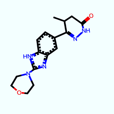 CC1CC(=O)NN=C1c1ccc2[nH]c(N3CCOCC3)nc2c1